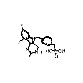 CC1=Nc2c(n(Cc3ccc(CP(=O)(O)O)cc3)c3cc(F)cc(F)c23)CN1